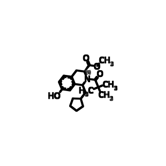 COC(=O)[C@@H]1Cc2ccc(O)cc2C(CC2CCCC2)N1C(=O)C(C)(C)C